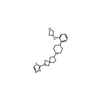 c1ccc(C2CCN(C3CCC4(C3)CN(c3nncs3)C4)CC2)c(OC2COC2)c1